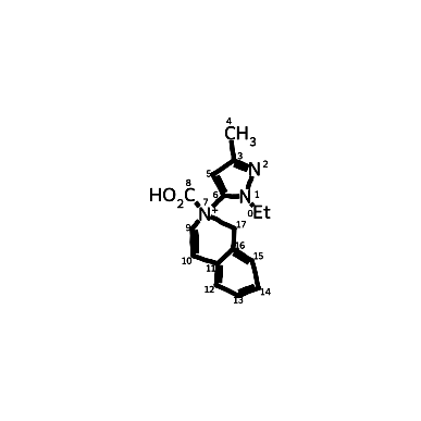 CCn1nc(C)cc1[N+]1(C(=O)O)C=Cc2ccccc2C1